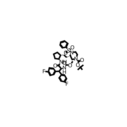 COC(=O)N[C@H](C(=O)N[C@H]1CCC[C@@H]1CC[C@H]1CN(C(=O)OC(C)(C)C)CCN1S(=O)(=O)c1ccccc1)C(c1ccc(F)cc1)c1ccc(F)cc1